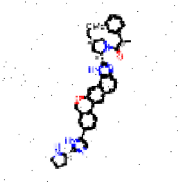 COC[C@@H]1C[C@@H](c2nc3ccc4cc5c(cc4c3[nH]2)OCc2cc(-c3cnc([C@@H]4CCCN4)[nH]3)ccc2-5)N(C(=O)[C@H](C)c2ccccc2)C1